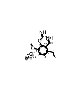 CCc1ccc(OC)c(OC=N)c1C=N.[Cl-].[Cl-].[Mn+2]